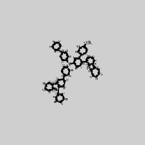 CC(C)(C)c1ccc(-c2cc(N(c3ccc(-c4ccccc4)cc3)c3ccc(-c4ccc5c(c4)c4ccccc4n5-c4ccccc4)cc3)ccc2-c2cccc3c2oc2ccccc23)cc1